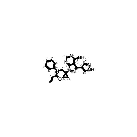 C=CC(=O)N(CC1(n2nc(-c3cn[nH]c3)c3c(N)ncnc32)CC1)c1ccccc1